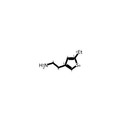 CCc1cc(CCN)cs1